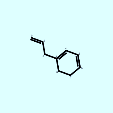 C=CCC1=CC=CC[CH]1